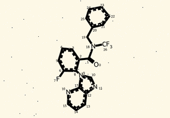 O=C(c1cccc(F)c1-n1cnc2cccnc21)N(Cc1ccccc1)C(F)(F)F